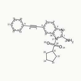 Nc1nc2ccc(C#Cc3ccccc3)cc2n1S(=O)(=O)C1CCCC1